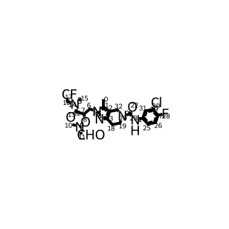 Cc1c2c(nn1CC(ON(C)C=O)C(=O)N(C)CC(F)(F)F)CCN(C(=O)Nc1ccc(F)c(Cl)c1)C2